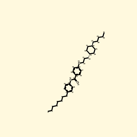 CCCCCCCCc1ccc(OC(=O)c2ccc(OCCC[C@H]3CC[C@H](CCCCC)CC3)cc2)cc1